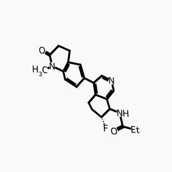 CCC(=O)NC1c2cncc(-c3ccc4c(c3)CCC(=O)N4C)c2CC[C@H]1F